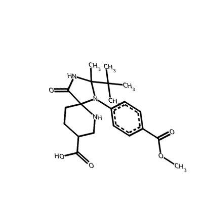 COC(=O)c1ccc(N2C3(CCC(C(=O)O)CN3)C(=O)NC2(C)C(C)(C)C)cc1